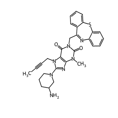 CC#CCn1c(N2CCCC(N)C2)nc2c1c(=O)n(CC1=Nc3ccccc3Sc3ccccc31)c(=O)n2C